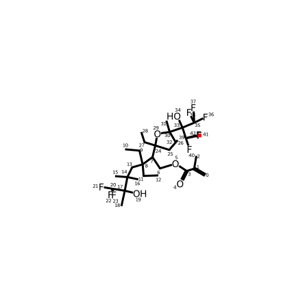 C=C(C)C(=O)OCC(C(CC)(CC)CC(C)(C)C(C)(O)C(F)(F)F)C(CC)(CC)OC(C)(C)C(O)(C(F)(F)F)C(F)(F)F